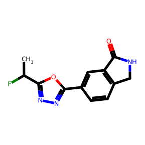 CC(F)c1nnc(-c2ccc3c(c2)C(=O)NC3)o1